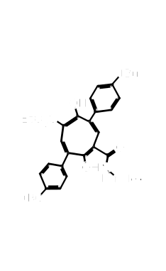 CCCCCCNC(=O)C1=C(O)/C(c2ccc(C(C)(C)C)cc2)=C\C(C(=O)OCC)=C(O)/C(c2ccc(C(C)(C)C)cc2)=C\1